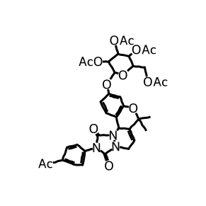 CC(=O)OCC1OC(Oc2ccc3c(c2)OC(C)(C)C2=CCn4c(=O)n(-c5ccc(C(C)=O)cc5)c(=O)n4C23)C(OC(C)=O)C(OC(C)=O)C1OC(C)=O